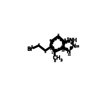 Cc1c(CCBr)ccc2[nH]nnc12